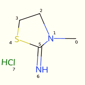 CN1CCSC1=N.Cl